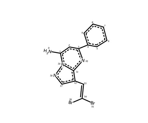 Nc1cc(-c2ccccc2)nc2c(C=C(Br)Br)cnn12